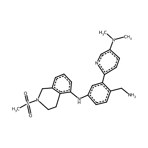 CN(C)c1ccc(-c2cc(Nc3cccc4c3CCN(S(C)(=O)=O)C4)ccc2CN)nc1